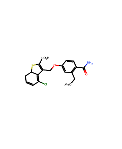 COCc1cc(OCC2=C(C(=O)O)SC3CC=CC(Cl)=C23)ccc1C(N)=O